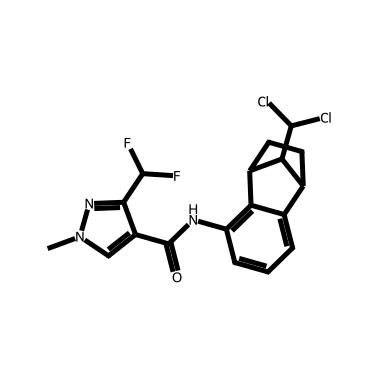 Cn1cc(C(=O)Nc2cccc3c2C2CCC3C2C(Cl)Cl)c(C(F)F)n1